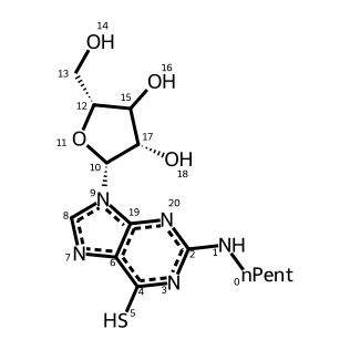 CCCCCNc1nc(S)c2ncn([C@@H]3O[C@H](CO)C(O)[C@@H]3O)c2n1